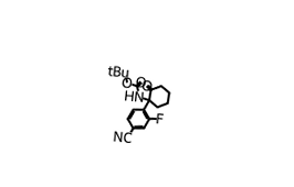 CC(C)(C)OC(=O)NC1(c2ccc(C#N)cc2F)CCCCC1=O